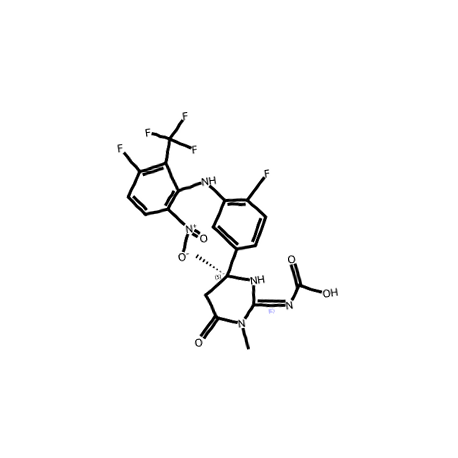 CN1C(=O)C[C@@](C)(c2ccc(F)c(Nc3c([N+](=O)[O-])ccc(F)c3C(F)(F)F)c2)N/C1=N\C(=O)O